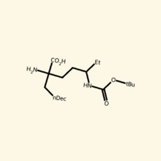 CCCCCCCCCCCC(N)(CCC(CC)NC(=O)OC(C)(C)C)C(=O)O